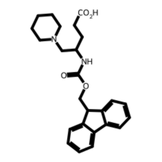 O=C(O)CCC(CN1CCCCC1)NC(=O)OCC1c2ccccc2-c2ccccc21